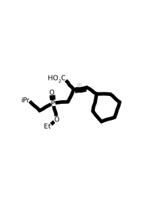 CCOP(=O)(C/C(=C\C1CCCCC1)C(=O)O)CC(C)C